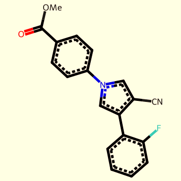 COC(=O)c1ccc(-n2cc(C#N)c(-c3ccccc3F)c2)cc1